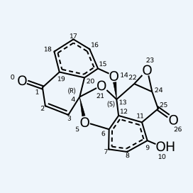 O=C1C=C[C@]23Oc4ccc(O)c5c4[C@](Oc4cccc1c42)(O3)C1OC1C5=O